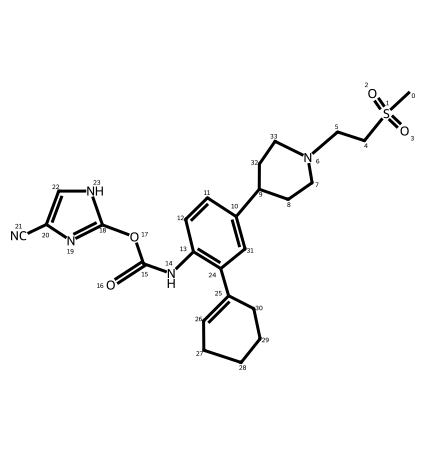 CS(=O)(=O)CCN1CCC(c2ccc(NC(=O)Oc3nc(C#N)c[nH]3)c(C3=CCCCC3)c2)CC1